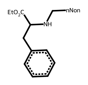 CCCCCCCCCCNC(Cc1ccccc1)C(=O)OCC